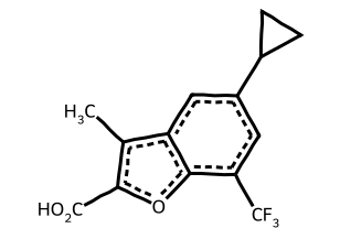 Cc1c(C(=O)O)oc2c(C(F)(F)F)cc(C3CC3)cc12